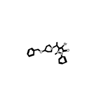 CC(c1c(Br)c(=O)n(-c2ccccc2)n1C)N1CCC(OCc2ccccc2)CC1